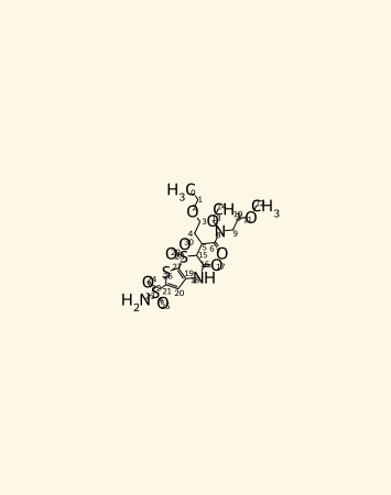 CCOCCC(C(=O)N(CCOC)OC)C1C(=O)Nc2cc(S(N)(=O)=O)sc2S1(=O)=O